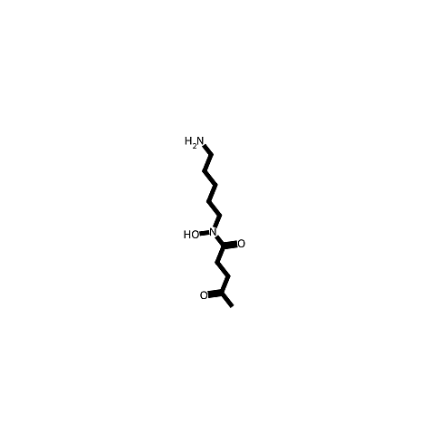 CC(=O)CCC(=O)N(O)CCCCCN